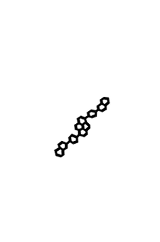 c1ccc2cc(-c3ccc(-c4ccc5ccc6c(-c7ccc(-c8ccc9ccccc9c8)cc7)ccc7ccc4c5c76)cc3)ccc2c1